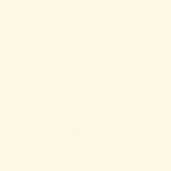 Cc1cc(-c2cccc(C=O)c2)ccc1C(F)(F)F